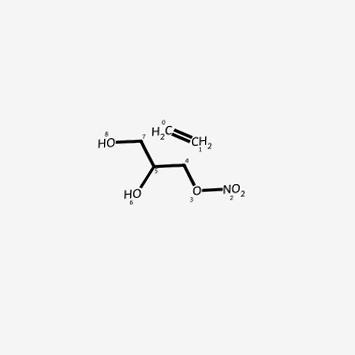 C=C.O=[N+]([O-])OCC(O)CO